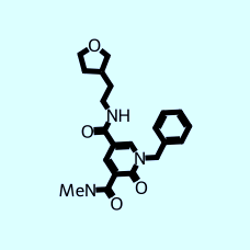 CNC(=O)c1cc(C(=O)NCCC2CCOC2)cn(Cc2ccccc2)c1=O